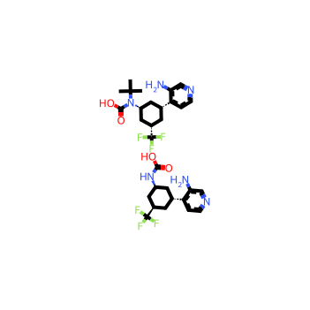 CC(C)(C)N(C(=O)O)[C@@H]1C[C@H](c2ccncc2N)C[C@H](C(F)(F)F)C1.Nc1cnccc1[C@H]1C[C@H](NC(=O)O)C[C@H](C(F)(F)F)C1